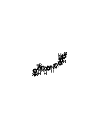 CS(=O)(=O)c1cccc(CNc2nc(Nc3ccc(CNC4CCN(c5ccc6c(c5)C(=O)N(C5CCC(=O)NC5=O)C6=O)CC4)cc3)ncc2C(F)(F)F)c1